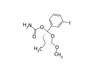 CCC[C@](OCOC)(OC(N)=O)c1cccc(I)c1